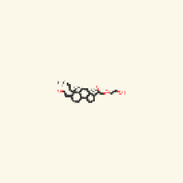 CCCC1(C)/C(=C\C=O)CCC2C1CCC1(C)C(C(=O)COCCO)CCC21